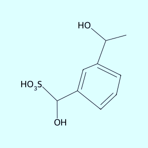 CC(O)c1cccc(C(O)S(=O)(=O)O)c1